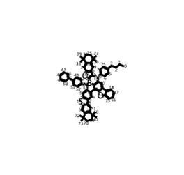 CCCCc1ccc(N2c3cc4c(oc5ccccc54)c4c3B(c3oc5cc6c(cc5c32)C(C)(C)CCC6(C)C)N(c2ccc(-c3ccccc3)cc2)c2cc3sc5cc6c(cc5c3cc2-4)C(C)(C)CCC6(C)C)cc1